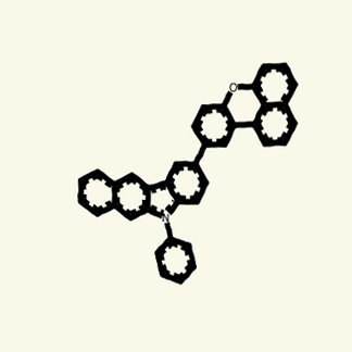 c1ccc(-n2c3ccc(-c4ccc5c(c4)-c4cccc6cccc(c46)O5)cc3c3cc4ccccc4cc32)cc1